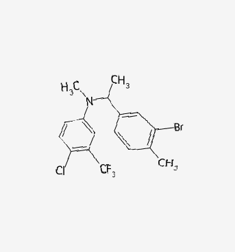 Cc1ccc(C(C)N(C)c2ccc(Cl)c(C(F)(F)F)c2)cc1Br